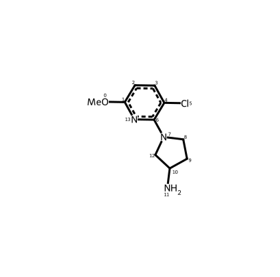 COc1ccc(Cl)c(N2CCC(N)C2)n1